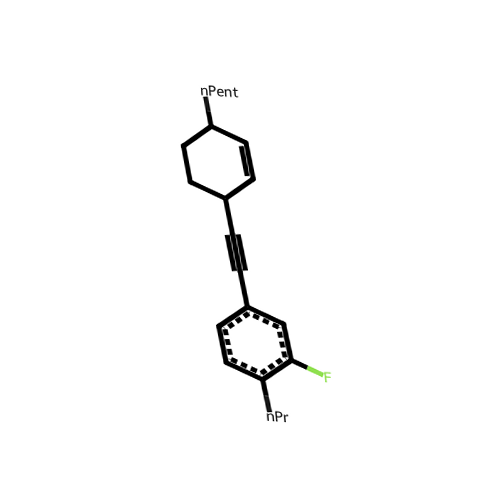 CCCCCC1C=CC(C#Cc2ccc(CCC)c(F)c2)CC1